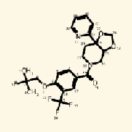 CC(C)(F)COc1ccc(C(=O)N2CCC3(c4ccccn4)OCOC3C2)cc1C(F)(F)F